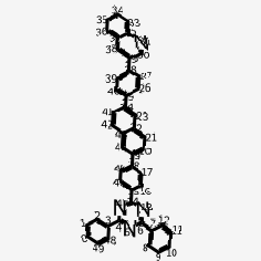 c1ccc(-c2nc(-c3ccccc3)nc(-c3ccc(-c4ccc5cc(-c6ccc(-c7cnc8ccccc8c7)cc6)ccc5c4)cc3)n2)cc1